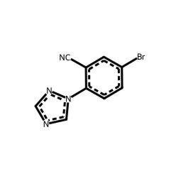 N#Cc1cc(Br)ccc1-n1cncn1